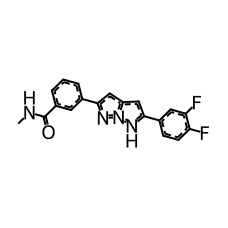 CNC(=O)c1cccc(-c2cc3cc(-c4ccc(F)c(F)c4)[nH]n3n2)c1